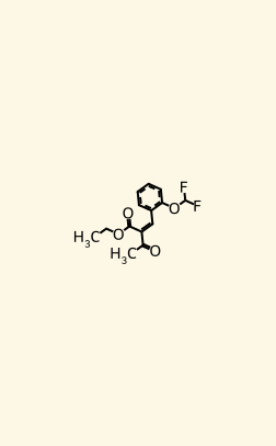 CCOC(=O)C(=Cc1ccccc1OC(F)F)C(C)=O